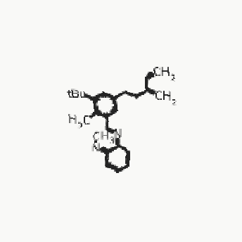 C=CC(=C)CCc1cc(C/N=C2/C=CC=C/C2=N/C)c(C)c(C(C)(C)C)c1